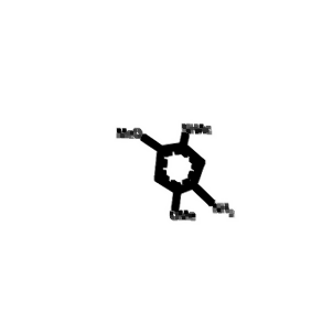 COc1cc(OC)c(NC(C)=O)cc1N